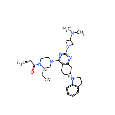 C=CC(=O)N1CCN(c2nc(N3CC(N(C)C)C3)nc3c2CC[C@@H](N2CCc4ccccc42)C3)C[C@@H]1CC#N